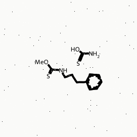 COC(=S)NCCCc1ccccc1.NC(O)=S